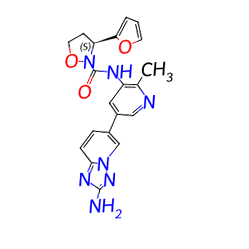 Cc1ncc(-c2ccc3nc(N)nn3c2)cc1NC(=O)N1OCC[C@H]1c1ccco1